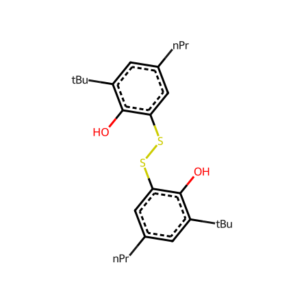 CCCc1cc(SSc2cc(CCC)cc(C(C)(C)C)c2O)c(O)c(C(C)(C)C)c1